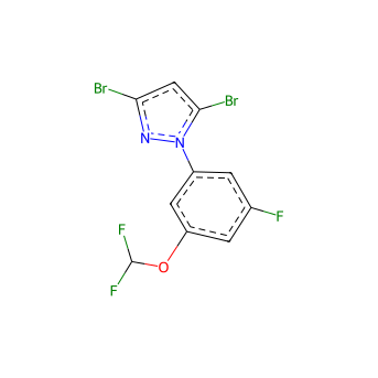 Fc1cc(OC(F)F)cc(-n2nc(Br)cc2Br)c1